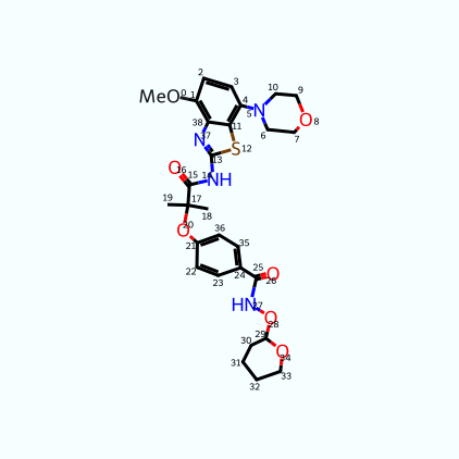 COc1ccc(N2CCOCC2)c2sc(NC(=O)C(C)(C)Oc3ccc(C(=O)NOC4CCCCO4)cc3)nc12